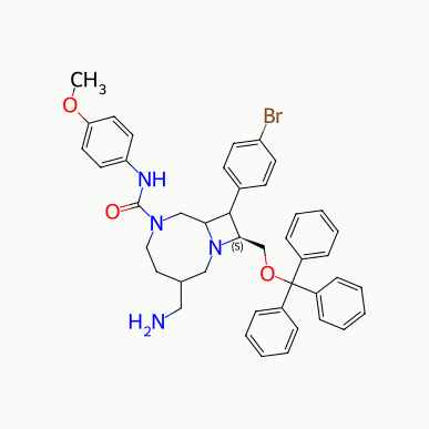 COc1ccc(NC(=O)N2CCC(CN)CN3C(C2)C(c2ccc(Br)cc2)[C@H]3COC(c2ccccc2)(c2ccccc2)c2ccccc2)cc1